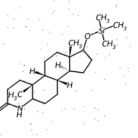 C[C@]12CCC(=O)NC1CC[C@@H]1[C@H]2CC[C@]2(C)C(O[Si](C)(C)C)CC[C@@H]12